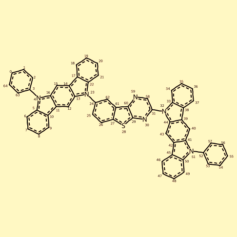 c1ccc(-n2c3ccccc3c3cc4c(cc32)c2ccccc2n4-c2ccc3sc4nc(-n5c6ccccc6c6cc7c(cc65)c5ccccc5n7-c5ccccc5)cnc4c3c2)cc1